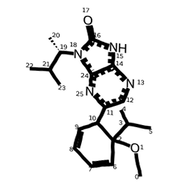 COC1(C(C)C)C=CC=CC1c1cnc2[nH]c(=O)n([C@@H](C)C(C)C)c2n1